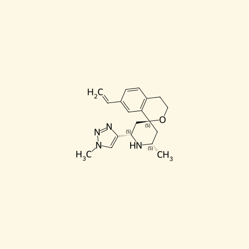 C=Cc1ccc2c(c1)[C@]1(C[C@@H](c3cn(C)nn3)N[C@@H](C)C1)OCC2